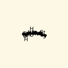 CCn1c2ccc(CN3CCCn4nc(C(=O)Nc5nc6ccc(NS(=O)(=O)c7cccs7)cc6s5)cc4C3)cc2c2ccc(-c3cc(C)cs3)cc21